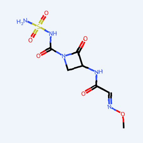 CON=CC(=O)NC1CN(C(=O)NS(N)(=O)=O)C1=O